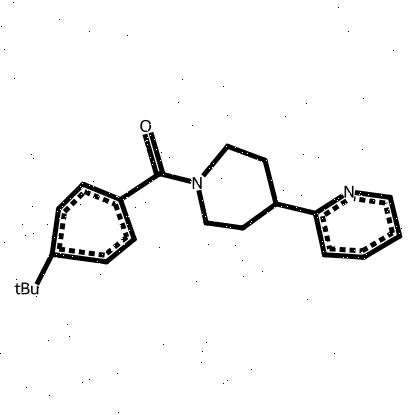 CC(C)(C)c1ccc(C(=O)N2CCC(c3ccccn3)CC2)cc1